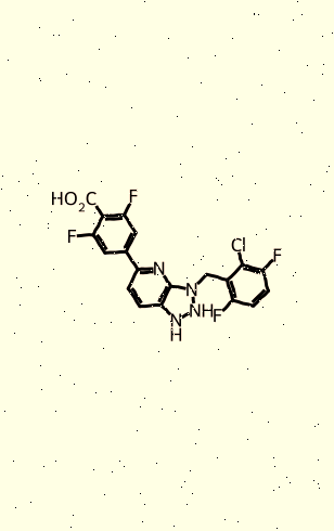 O=C(O)c1c(F)cc(-c2ccc3c(n2)N(Cc2c(F)ccc(F)c2Cl)NN3)cc1F